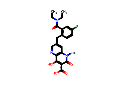 CCN(CC)C(=O)c1cc(F)ccc1Cc1cnc2c(O)c(C(=O)O)c(=O)n(C)c2c1